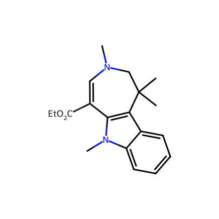 CCOC(=O)C1=CN(C)CC(C)(C)c2c1n(C)c1ccccc21